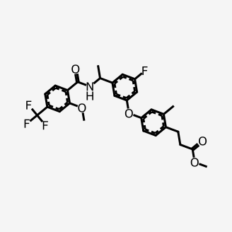 COC(=O)CCc1ccc(Oc2cc(F)cc(C(C)NC(=O)c3ccc(C(F)(F)F)cc3OC)c2)cc1C